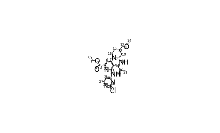 CCOC(=O)c1cc(N2CCC(COC)CC2)c(C(=N)C(C)C)c(Nc2ccnc(Cl)n2)n1